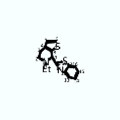 CCN1CCc2ccsc2C1c1nc2ccccc2s1